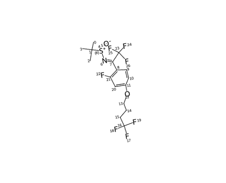 CC(C)(C)[S@+]([O-])N=C(c1ccc(OCCCC(F)(F)F)cc1F)C(F)(F)F